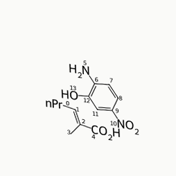 CCCC=C(C)C(=O)O.Nc1ccc([N+](=O)[O-])cc1O